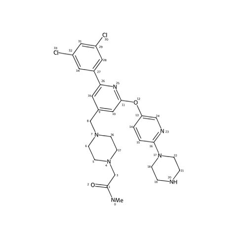 CNC(=O)CN1CCN(Cc2cc(Oc3ccc(N4CCNCC4)nc3)nc(-c3cc(Cl)cc(Cl)c3)c2)CC1